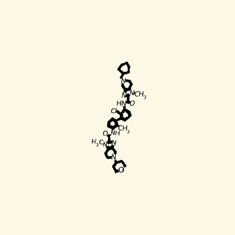 Cc1c(NC(=O)c2nc3c(n2C)CCN(C2CCOCC2)C3)cccc1-c1cccc(NC(=O)c2nc3c(n2C)CCN(CC2CCCCC2)C3)c1Cl